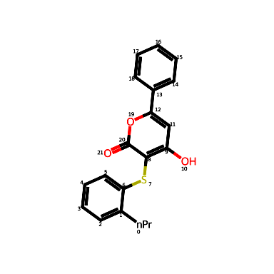 CCCc1ccccc1Sc1c(O)cc(-c2ccccc2)oc1=O